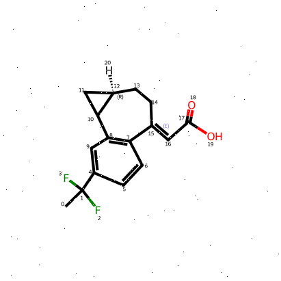 CC(F)(F)c1ccc2c(c1)C1C[C@H]1CC/C2=C\C(=O)O